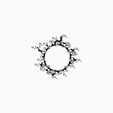 C/C=C/C[C@@H](C)[C@@H](O)[C@H]1C(=O)N[C@@H](CC)C(=O)N(C)[C@H](SCCN(C)C)C(=O)N(C)[C@@H](CC(C)(C)O)C(=O)N[C@@H](C(C)C)C(=O)N(C)[C@@H](CC(C)C)C(=O)N[C@@H](C)C(=O)N[C@H](C)C(=O)N(C)[C@@H](CC(C)C)C(O)N(C)[C@@H](CC(C)C)C(=O)N(C)[C@@H](C(C)C)C(=O)N1C